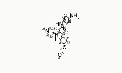 COCCOc1ccc(-c2cnc(Nc3cnc(N)cn3)cc2NC2CCN(C)CC2)cc1